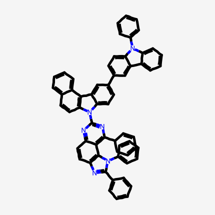 C1=CCC(c2nc(-n3c4ccc(-c5ccc6c(c5)c5ccccc5n6-c5ccccc5)cc4c4c5ccccc5ccc43)nc3ccc4nc(-c5ccccc5)n(-c5ccccc5)c4c23)C=C1